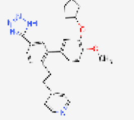 COc1ccc(-c2cc(-c3nnn[nH]3)ccc2CCc2ccncc2)cc1OC1CCCC1